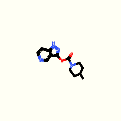 CC1CCN(C(=O)Oc2n[nH]c3ccncc23)CC1